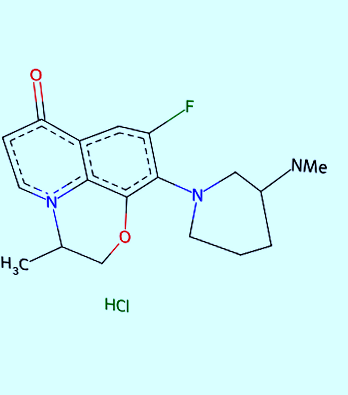 CNC1CCCN(c2c(F)cc3c(=O)ccn4c3c2OCC4C)C1.Cl